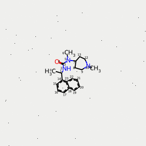 CC(NC(=O)N(C)C1CCN(C)CC1)c1cccc2ccccc12